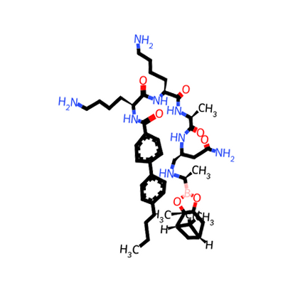 CCCCc1ccc(-c2ccc(C(=O)N[C@@H](CCCCN)C(=O)N[C@@H](CCCCN)C(=O)N[C@@H](C)C(=O)N[C@H](CN[C@@H](C)B3OC4C[C@@H]5C[C@@H](C5(C)C)[C@]4(C)O3)CC(N)=O)cc2)cc1